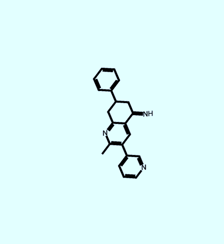 Cc1nc2c(cc1-c1cccnc1)C(=N)CC(c1ccccc1)C2